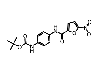 CC(C)(C)OC(=O)Nc1ccc(NC(=O)c2ccc([N+](=O)[O-])o2)cc1